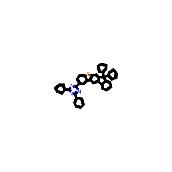 C1=C=C(c2nc(-c3ccccc3)nc(-c3ccc4sc5cc6c(cc5c4c3)-c3ccccc3C6(c3ccccc3)c3ccccc3)n2)C=CC=1